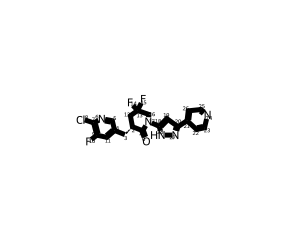 O=C1[C@H](Cc2cnc(Cl)c(F)c2)CC(F)(F)CN1c1cc(-c2ccncc2)n[nH]1